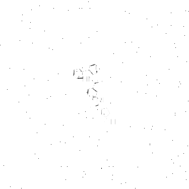 O=C(Nc1cnccc1-c1ccccc1)c1ccnc(NC(=O)[C@@H]2CC[C@@H](O)C2)c1